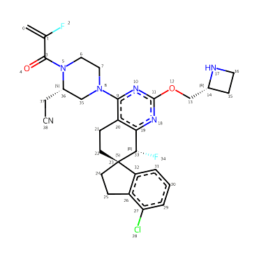 C=C(F)C(=O)N1CCN(c2nc(OC[C@H]3CCN3)nc3c2CC[C@@]2(CCc4c(Cl)cccc42)[C@H]3F)C[C@@H]1CC#N